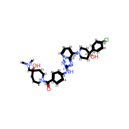 CN(C)CC1(O)CCCN(C(=O)c2ccc(Nc3nc4c(N5CCC(O)(c6ccc(Cl)cc6)CC5)cccn4n3)cc2)CC1